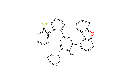 N#Cc1c(-c2ccccc2)cc(-c2cccc3sc4ccccc4c23)cc1-c1cccc2oc3ccccc3c12